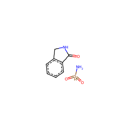 N[SH](=O)=O.O=C1NCc2ccccc21